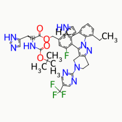 CCc1cccc(CC)c1-n1nc2c(c1-c1c(F)cc(COC(=O)[C@H](Cc3cnc[nH]3)NC(=O)OC(C)(C)C)c3[nH]ccc13)CN(c1ncc(C(F)(F)F)cn1)CC2